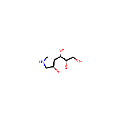 OC[C@@H](O)[C@@H](O)[C@H]1CNC[C@@H]1O